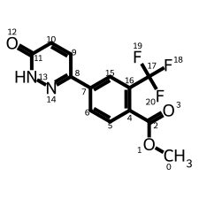 COC(=O)c1ccc(-c2ccc(=O)[nH]n2)cc1C(F)(F)F